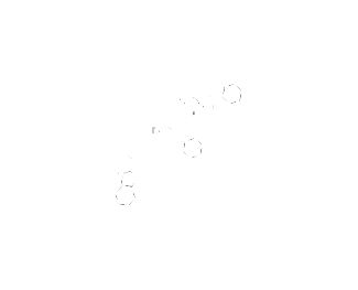 CC(=NS(=O)(=O)c1ccccc1)NC(CC(=O)NCCCC(=O)c1nc2ccccc2o1)S(=O)(=O)Cc1ccccc1OC(F)F